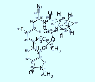 CN1Cc2cc(-c3ccc(C[C@@H](C#N)NC(=O)[C@@H]4[C@@H]5C[C@@H]([C@H]6C[C@@H]56)N4C(=O)OC(C)(C)C)c(F)c3)ccc2C1=O